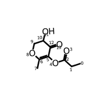 CCC(=O)OC1=C(C)OCC(O)C1=O